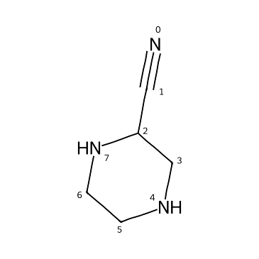 N#CC1CNCCN1